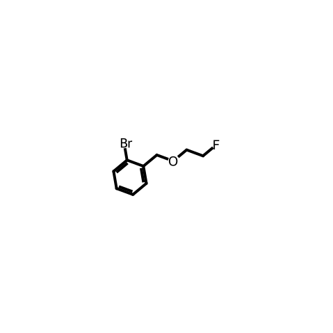 FCCOCc1ccccc1Br